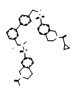 CCN([C@@H](C)c1ccc(-c2cccc([C@H](C)N(C)S(=O)(=O)c3ccc4c(c3)CN(C(=O)C(C)C)CC4)c2)cc1)S(=O)(=O)c1ccc2c(c1)CN(C(=O)C1CC1)CC2